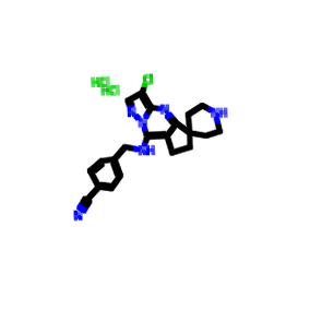 Cl.Cl.N#Cc1ccc(CNc2c3c(nc4c(Cl)cnn24)C2(CCNCC2)CC3)cc1